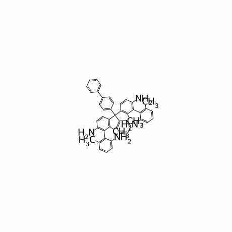 Cc1cccc(N)c1-c1c(N)ccc(C(c2ccccc2)(c2ccc(-c3ccccc3)cc2)c2ccc(N)c(-c3c(C)cccc3N)c2C)c1C